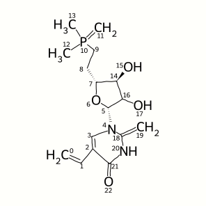 C=CC1=CN([C@@H]2O[C@H](CCP(=C)(C)C)[C@@H](O)C2O)C(=C)NC1=O